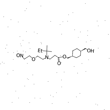 CCC(C)(C)N(CCOCCN=O)CCC(=O)OC[C@H]1CC[C@@H](CO)CC1